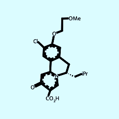 COCCOc1cc2c(cc1Cl)-c1cc(=O)c(C(=O)O)cn1[C@@H](CC(C)C)C2